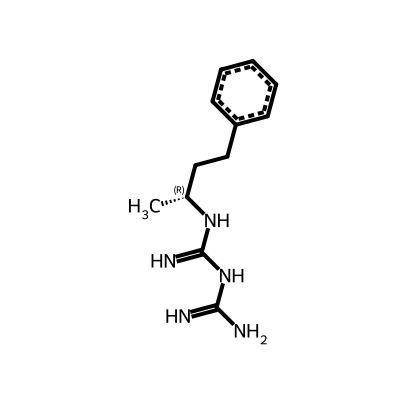 C[C@H](CCc1ccccc1)NC(=N)NC(=N)N